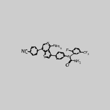 N#Cc1ccc(-c2cnc(N)c3c(-c4ccc(N(C(N)=O)c5cc(C(F)(F)F)ccc5F)cc4)csc23)cc1